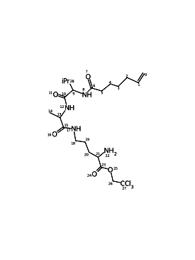 C=CCCCCC(=O)NC(C(=O)NC(C)C(=O)NCCCC(N)C(=O)OCC(Cl)(Cl)Cl)C(C)C